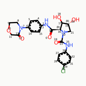 O=C(Nc1ccc(N2CCOCC2=O)cc1)[C@H]1C(O)[C@H](O)CN1C(=O)Nc1ccc(Cl)cc1